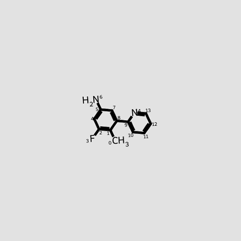 Cc1c(F)cc(N)cc1-c1ccccn1